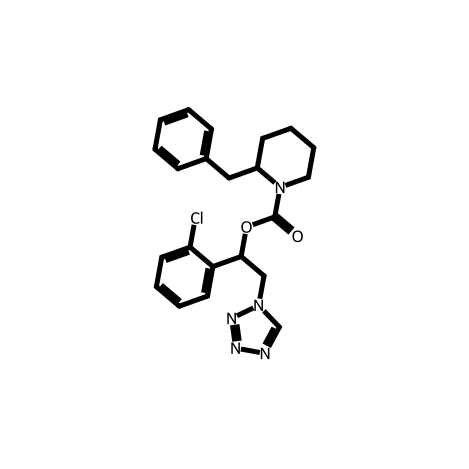 O=C(OC(Cn1cnnn1)c1ccccc1Cl)N1CCCCC1Cc1ccccc1